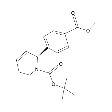 COC(=O)c1ccc([C@@H]2C=CCCN2C(=O)OC(C)(C)C)cc1